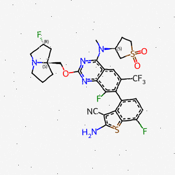 CN(c1nc(OC[C@@]23CCCN2C[C@H](F)C3)nc2c(F)c(-c3ccc(F)c4sc(N)c(C#N)c34)c(C(F)(F)F)cc12)[C@H]1CCS(=O)(=O)C1